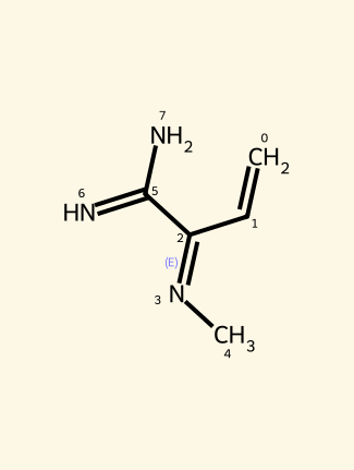 C=C/C(=N\C)C(=N)N